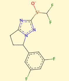 [O-][S+](c1nc2n(n1)C(c1cc(F)cc(F)c1)CC2)C(F)F